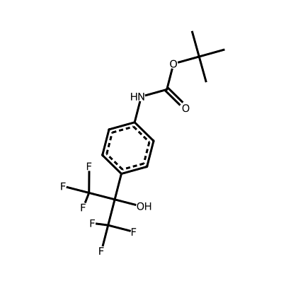 CC(C)(C)OC(=O)Nc1ccc(C(O)(C(F)(F)F)C(F)(F)F)cc1